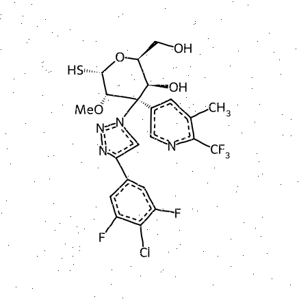 CO[C@@H]1[C@H](S)O[C@@H](CO)[C@@H](O)[C@@]1(c1cnc(C(F)(F)F)c(C)c1)n1cc(-c2cc(F)c(Cl)c(F)c2)nn1